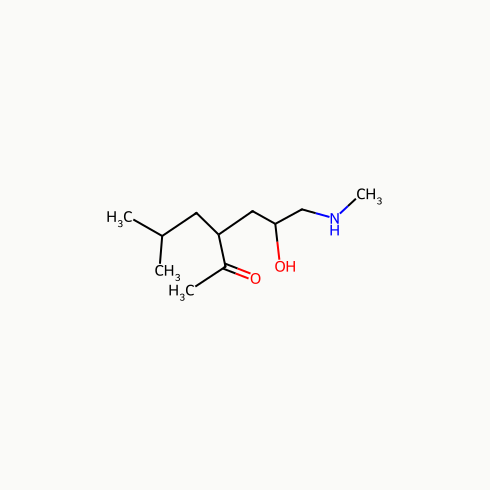 CNCC(O)CC(CC(C)C)C(C)=O